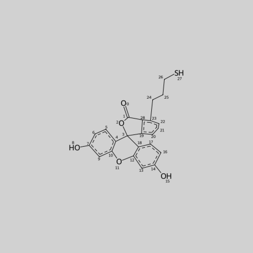 O=C1OC2(c3ccc(O)cc3Oc3cc(O)ccc32)c2cccc(CCCS)c21